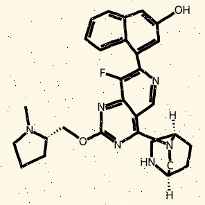 CN1CCC[C@H]1COc1nc(N2C[C@H]3CC[C@@H]2CN3)c2cnc(-c3cc(O)cc4ccccc34)c(F)c2n1